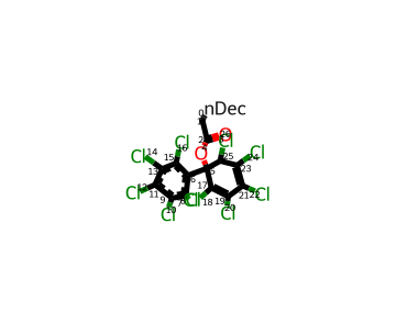 CCCCCCCCCCCC(=O)OC1(c2c(Cl)c(Cl)c(Cl)c(Cl)c2Cl)C(Cl)=C(Cl)C(Cl)=C(Cl)C1Cl